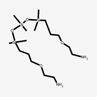 C[Si](C)(CCCOCCN)O[Si](C)(C)O[Si](C)(C)CCCOCCN